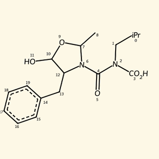 CC(C)CN(C(=O)O)C(=O)N1C(C)OC(O)C1Cc1ccccc1